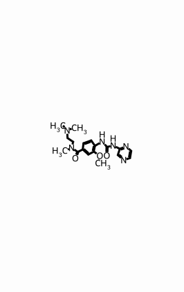 COc1cc(C(=O)N(C)CCN(C)C)ccc1NC(=O)Nc1cnccn1